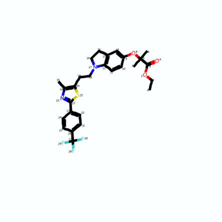 CCOC(=O)C(C)(C)Oc1ccc2c(c1)CCN2CCc1sc(-c2ccc(C(F)(F)F)cc2)nc1C